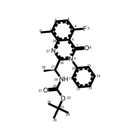 Cc1ccc(F)c2c(=O)n(-c3ccccc3)c([C@H](C)NC(=O)OC(C)(C)C)nc12